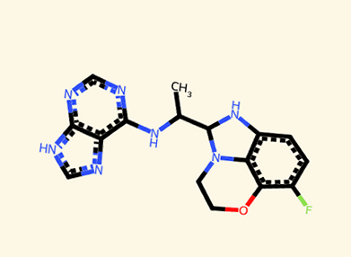 CC(Nc1ncnc2[nH]cnc12)C1Nc2ccc(F)c3c2N1CCO3